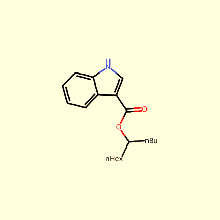 CCCCCCC(CCCC)OC(=O)c1c[nH]c2ccccc12